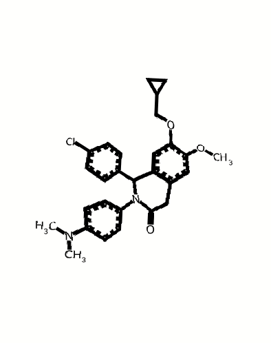 COc1cc2c(cc1OCC1CC1)C(c1ccc(Cl)cc1)N(c1ccc(N(C)C)cc1)C(=O)C2